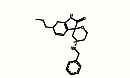 CCCC1C=CC2=C(C1)NC(=O)C21C[C@@H](NCc2ccccc2)CCO1